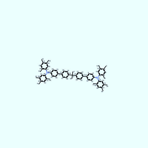 Cc1cc(C)c(N(c2ccc(-c3ccc(C(C)(C)c4ccc(-c5ccc(N(c6cc(C)c(C)cc6C)c6cc(C)c(C)cc6C)cc5)cc4)cc3)cc2)c2cc(C)c(C)cc2C)cc1C